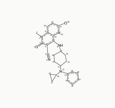 Cn1c(=O)c(C#N)c(NC2CCC(N(c3ccccc3)C3CC3)CC2)c2nc(Cl)ccc21